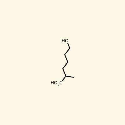 CC(CCCCO)C(=O)O